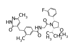 CO[C@H]1C[C@@H](c2cccc(F)c2)N(C(=O)CNC(=O)c2ccc(Cc3cc(C)n[nH]c3=O)c(C)c2)[C@H]1C(C)C